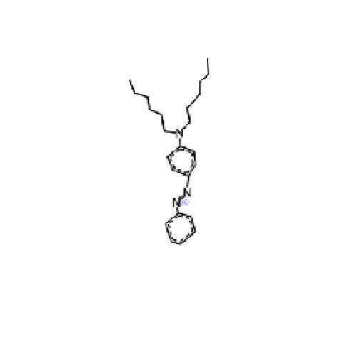 CCCCCCN(CCCCCC)c1ccc(/N=N/c2ccccc2)cc1